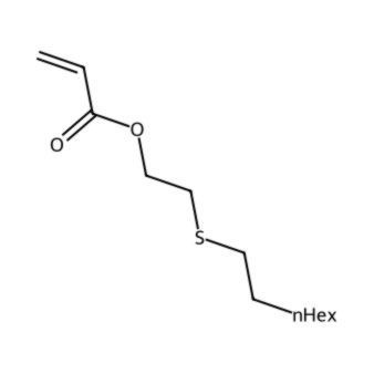 C=CC(=O)OCCSCCCCCCCC